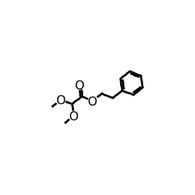 COC(OC)C(=O)OCCc1ccccc1